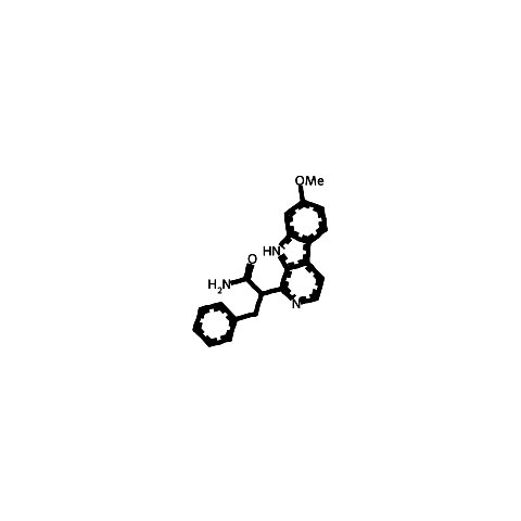 COc1ccc2c(c1)[nH]c1c(C(Cc3ccccc3)C(N)=O)nccc12